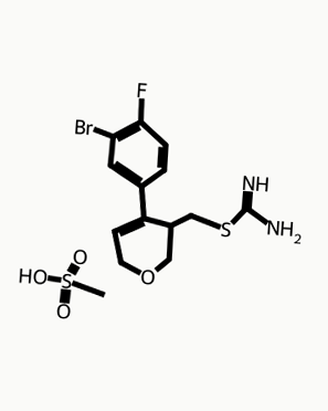 CS(=O)(=O)O.N=C(N)SCC1COCC=C1c1ccc(F)c(Br)c1